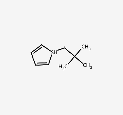 CC(C)(C)[CH][SH]1C=CC=C1